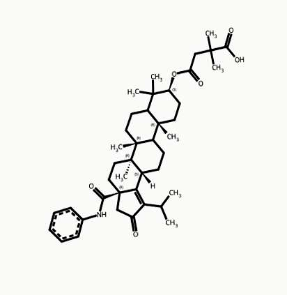 CC(C)C1=C2[C@H]3CCC4[C@@]5(C)CC[C@H](OC(=O)CC(C)(C)C(=O)O)C(C)(C)C5CC[C@@]4(C)[C@]3(C)CC[C@@]2(C(=O)Nc2ccccc2)CC1=O